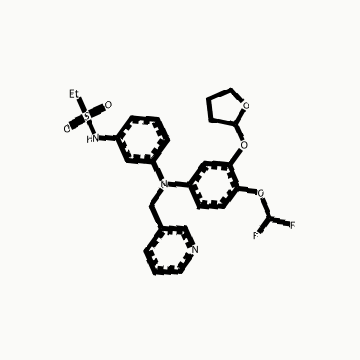 CCS(=O)(=O)Nc1cccc(N(Cc2cccnc2)c2ccc(OC(F)F)c(OC3CCCO3)c2)c1